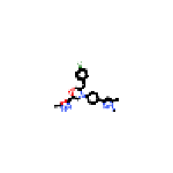 Cc1nnc(C2CN(C3CCC(c4cc(C)n(C)n4)CC3)C(Cc3ccc(Cl)cc3)CO2)o1